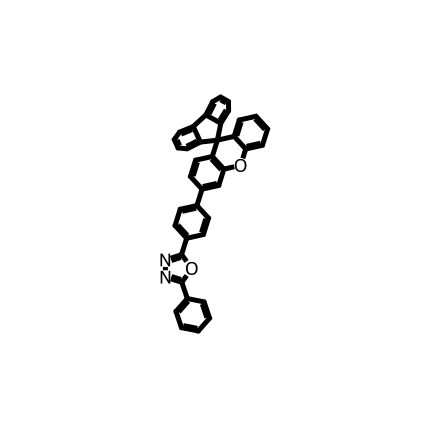 c1ccc(-c2nnc(-c3ccc(-c4ccc5c(c4)Oc4ccccc4C54c5ccccc5-c5ccccc54)cc3)o2)cc1